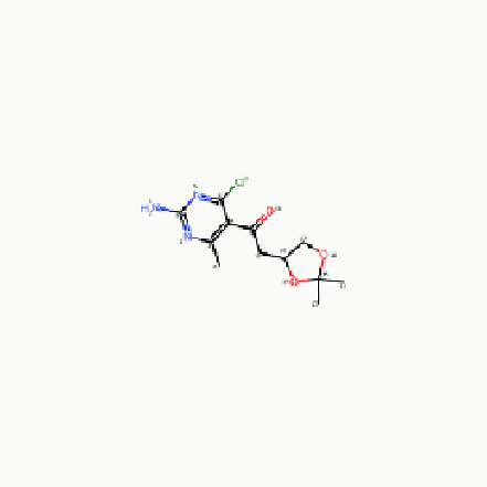 Cc1nc(N)nc(Cl)c1C(=O)CC1COC(C)(C)O1